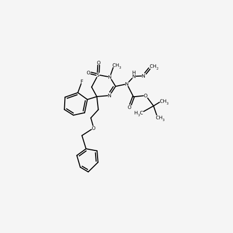 C=NNN(C(=O)OC(C)(C)C)C1=NC(CCOCc2ccccc2)(c2ccccc2F)CS(=O)(=O)N1C